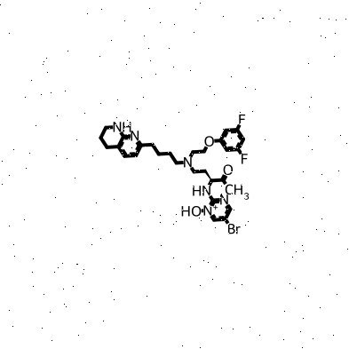 CC(=O)[C@H](CCN(CCCCc1ccc2c(n1)NCCC2)CCOc1cc(F)cc(F)c1)Nc1ncc(Br)c[n+]1O